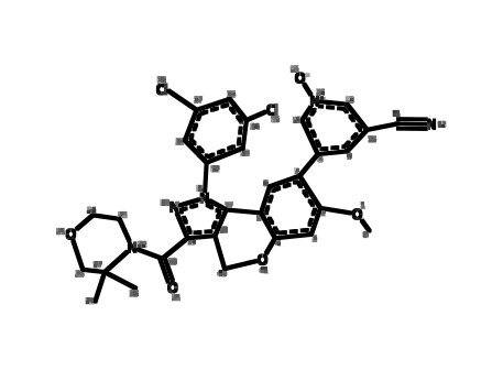 COc1cc2c(cc1-c1cc(C#N)c[n+]([O-])c1)-c1c(c(C(=O)N3CCOCC3(C)C)nn1-c1cc(Cl)cc(Cl)c1)CO2